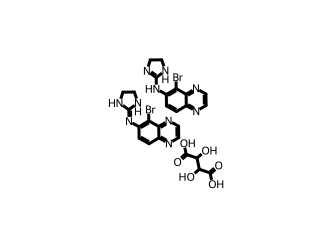 Brc1c(N=C2NCCN2)ccc2nccnc12.Brc1c(NC2=NCCN2)ccc2nccnc12.O=C(O)C(O)C(O)C(=O)O